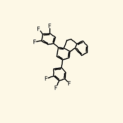 Fc1cc(-c2cc(-c3cc(F)c(F)c(F)c3)c3c(c2)-c2ccccc2CC3)cc(F)c1F